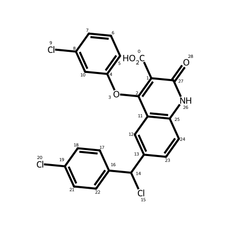 O=C(O)c1c(Oc2cccc(Cl)c2)c2cc(C(Cl)c3ccc(Cl)cc3)ccc2[nH]c1=O